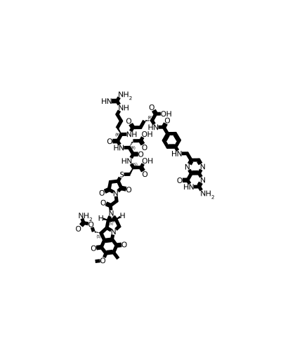 COC1=C(C)C(=O)C2=C(C1=O)[C@H](COC(N)=O)C1[C@H]3[C@@H](CN21)N3C(=O)CN1C(=O)CC(SC[C@@H](NC(=O)[C@@H](CC(=O)O)NC(=O)[C@@H](CCCNC(=N)N)NC(=O)CC[C@@H](NC(=O)c2ccc(NCc3cnc4nc(N)[nH]c(=O)c4n3)cc2)C(=O)O)C(=O)O)C1=O